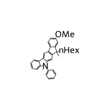 CCCCCCC1(C)c2cc(OC)ccc2-c2cc3c4ccccc4n(-c4ccccc4)c3cc21